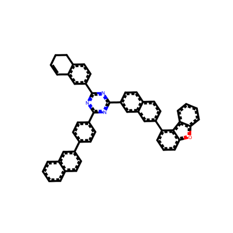 C1=Cc2cc(-c3nc(-c4ccc(-c5ccc6ccccc6c5)cc4)nc(-c4ccc5ccc(-c6cccc7oc8ccccc8c67)cc5c4)n3)ccc2CC1